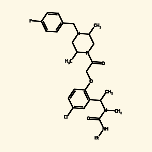 CCNC(=O)N(C)C(C)c1cc(Cl)ccc1OCC(=O)N1CC(C)N(Cc2ccc(F)cc2)CC1C